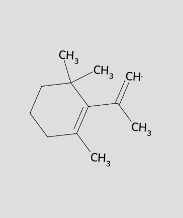 [CH]=C(C)C1=C(C)CCCC1(C)C